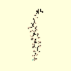 CCCCCCCc1ccc(C2CCC([C@H]3CC[C@H](CC/C=C/CF)CC3)CC2)cc1